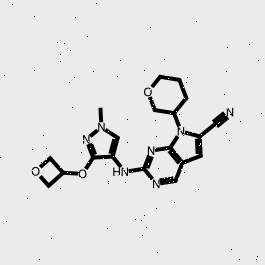 Cn1cc(Nc2ncc3cc(C#N)n(C4CCCOC4)c3n2)c(OC2COC2)n1